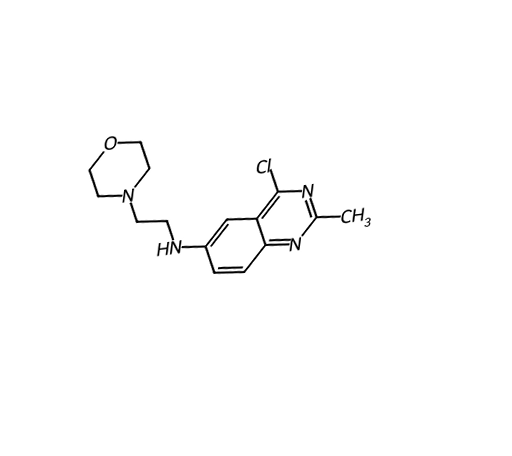 Cc1nc(Cl)c2cc(NCCN3CCOCC3)ccc2n1